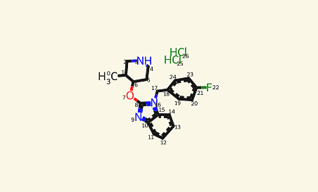 CC1CNCCC1Oc1nc2ccccc2n1Cc1ccc(F)cc1.Cl.Cl